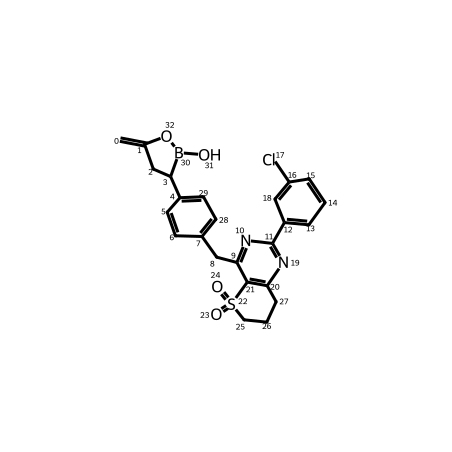 C=C1CC(c2ccc(Cc3nc(-c4cccc(Cl)c4)nc4c3S(=O)(=O)CCC4)cc2)B(O)O1